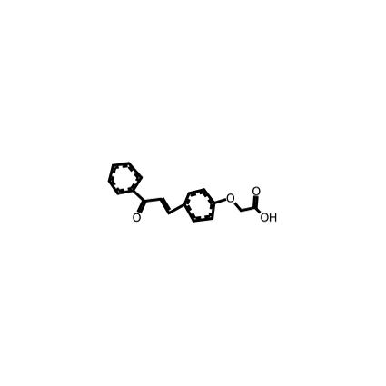 O=C(O)COc1ccc(/C=C/C(=O)c2ccccc2)cc1